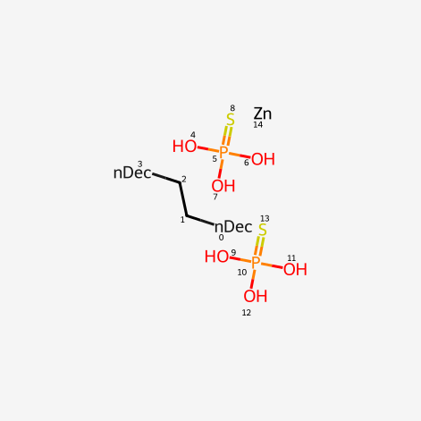 CCCCCCCCCCCCCCCCCCCCCC.OP(O)(O)=S.OP(O)(O)=S.[Zn]